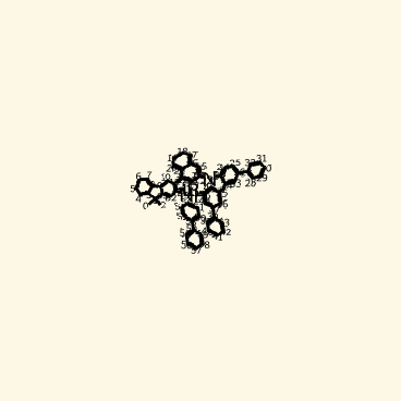 CC1(C)c2ccccc2-c2cc(-c3c4c(cc5ccccc35)-n3c5ccc(-c6ccccc6)cc5c5cc(-c6ccccc6)cc(c53)B4)c(Nc3ccc(-c4ccccc4)cc3)cc21